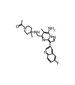 CC(=O)N1CCC(C)(NCc2nc3c(-c4cnc5ccc(F)cc5c4)cnn3c(N)c2C)CC1